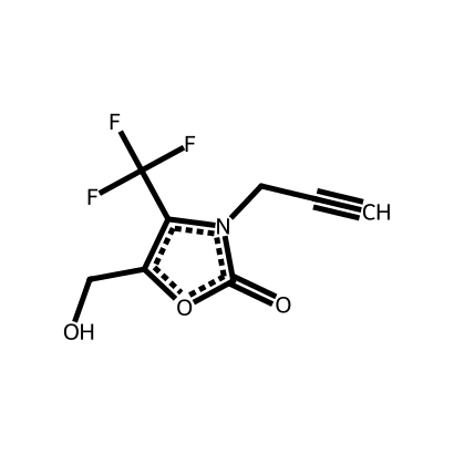 C#CCn1c(C(F)(F)F)c(CO)oc1=O